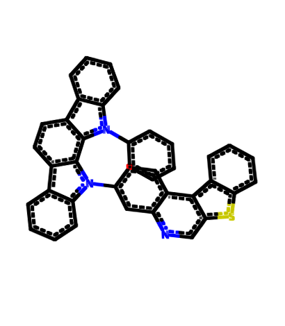 c1ccc(-n2c3ccccc3c3ccc4c5ccccc5n(-c5ccc6c(c5)ncc5sc7ccccc7c56)c4c32)cc1